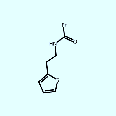 CCC(=O)NCCc1cccs1